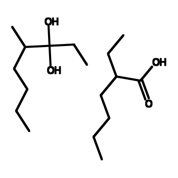 CCCCC(C)C(O)(O)CC.CCCCC(CC)C(=O)O